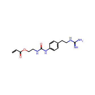 C=CC(=O)OCCNC(=O)Nc1ccc(CCNC(=N)N)cc1